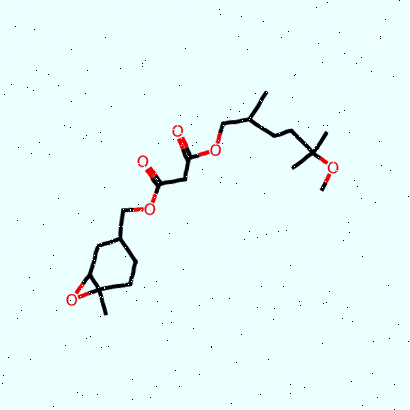 COC(C)(C)CCC(C)COC(=O)CC(=O)OCC1CCC2(C)OC2C1